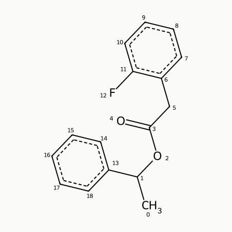 CC(OC(=O)Cc1ccccc1F)c1ccccc1